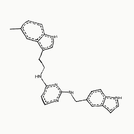 Cc1ccc2[nH]cc(CCNc3ccnc(NCc4ccc5[nH]ccc5c4)n3)c2c1